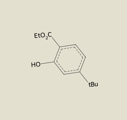 CCOC(=O)c1ccc(C(C)(C)C)cc1O